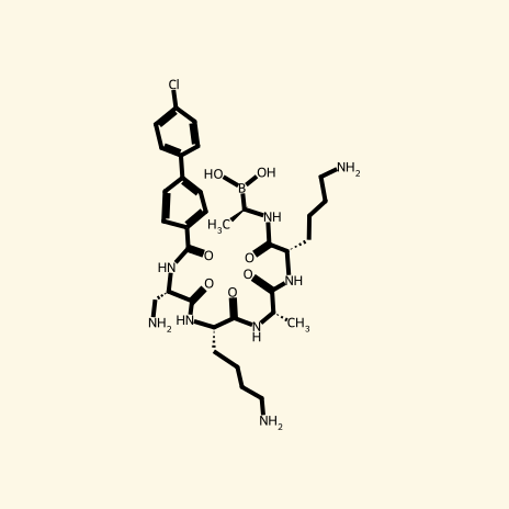 C[C@H](NC(=O)[C@H](CCCCN)NC(=O)[C@H](C)NC(=O)[C@H](CCCCN)NC(=O)[C@H](CN)NC(=O)c1ccc(-c2ccc(Cl)cc2)cc1)B(O)O